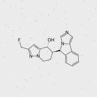 O[C@H]1c2cc(CF)nn2CC[C@@H]1C1c2ccccc2-c2cncn21